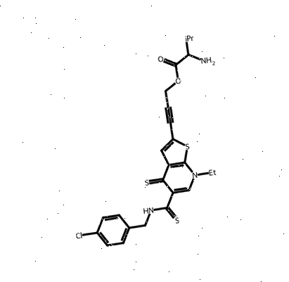 CCn1cc(C(=S)NCc2ccc(Cl)cc2)c(=S)c2cc(C#CCOC(=O)C(N)C(C)C)sc21